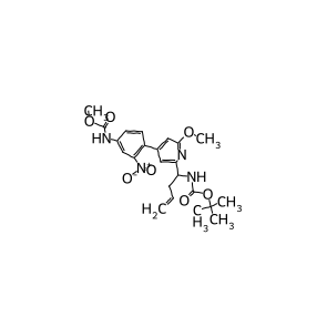 C=CCC(NC(=O)OC(C)(C)C)c1cc(-c2ccc(NC(=O)OC)cc2[N+](=O)[O-])cc(OC)n1